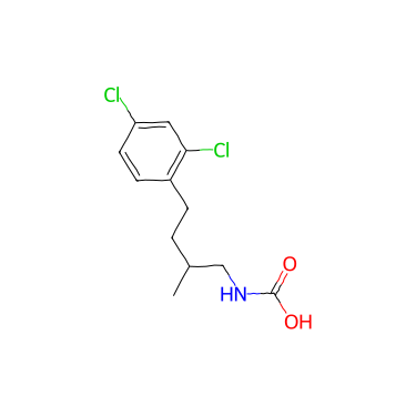 CC(CCc1ccc(Cl)cc1Cl)CNC(=O)O